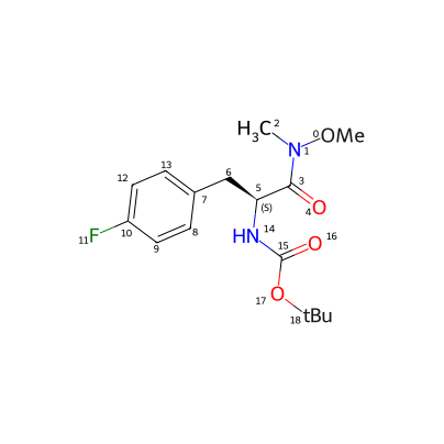 CON(C)C(=O)[C@H](Cc1ccc(F)cc1)NC(=O)OC(C)(C)C